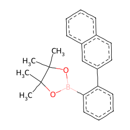 CC1(C)OB(c2ccccc2-c2ccc3ccccc3c2)OC1(C)C